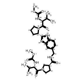 COC(=O)N[C@H](C(=O)N1CC[C@H](C(=O)NCc2ccc3[nH]c([C@@H]4CCCN4C(=O)[C@@H](NC(=O)OC)C(C)C)nc3c2)C1)C(C)C